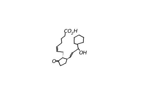 O=C(O)CCC/C=C\C[C@H]1C(=O)CC[C@@H]1/C=C/C(O)C1CCCCC1